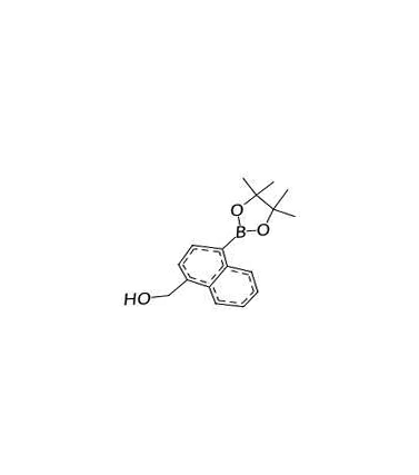 CC1(C)OB(c2ccc(CO)c3ccccc23)OC1(C)C